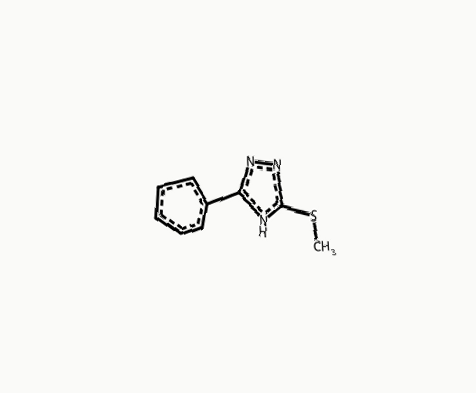 CSc1nnc(-c2ccccc2)[nH]1